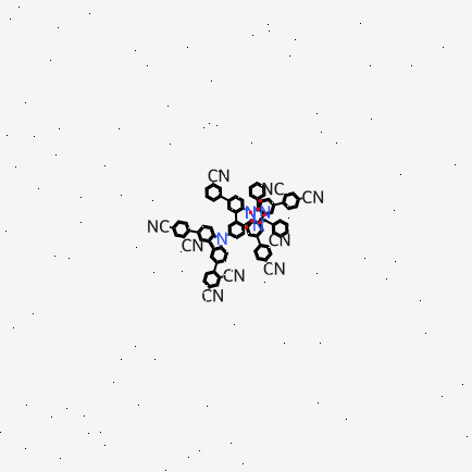 N#Cc1cccc(-c2ccc(-n3c4ccc(-c5ccc(C#N)cc5C#N)cc4c4cc(-c5ccc(C#N)cc5C#N)ccc43)c(-c3cc(-n4c5ccc(-c6ccc(C#N)cc6C#N)cc5c5cc(-c6ccc(C#N)cc6C#N)ccc54)ccc3-c3nc(-c4ccccc4)nc(-c4ccccc4)n3)c2)c1